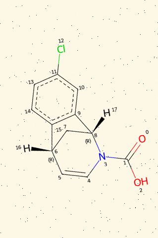 O=C(O)N1C=C[C@H]2C[C@@H]1c1cc(Cl)ccc12